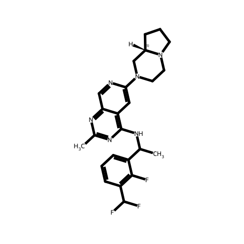 Cc1nc(NC(C)c2cccc(C(F)F)c2F)c2cc(N3CCN4CCC[C@H]4C3)ncc2n1